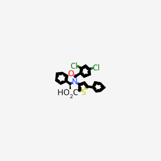 C[C@@H](c1ccccc1)N(C(=O)c1ccc(Cl)cc1Cl)c1cc(-c2ccccc2)sc1C(=O)O